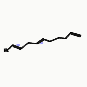 [CH2]C/C=C/C/C=C/CCCC=C